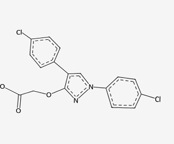 O=C(O)COc1nn(-c2ccc(Cl)cc2)cc1-c1ccc(Cl)cc1